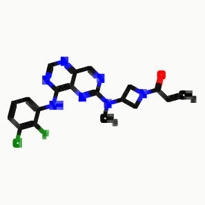 C=CC(=O)N1CC(N(C)c2ncc3ncnc(Nc4cccc(Cl)c4F)c3n2)C1